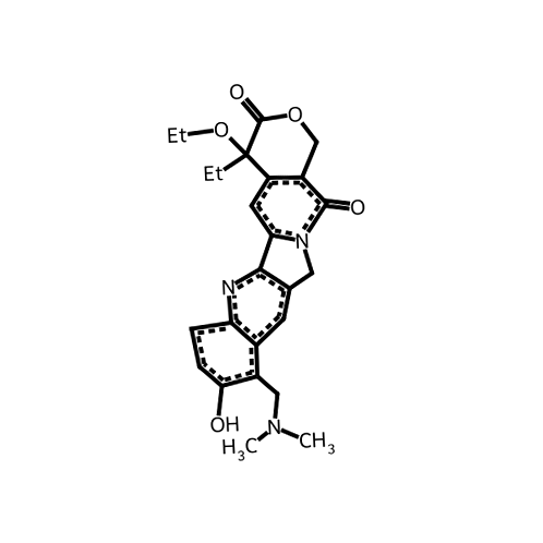 CCOC1(CC)C(=O)OCc2c1cc1n(c2=O)Cc2cc3c(CN(C)C)c(O)ccc3nc2-1